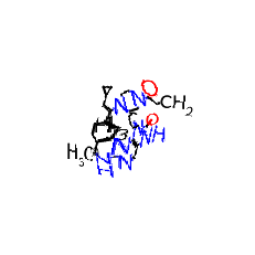 C=CC(=O)N1CCN(C(CC2CC2)c2ccc([C@H](C)Nc3ncc4[nH]c(=O)n(C)c4n3)cc2)CC1